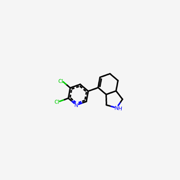 Clc1cc(C2=CCCC3CNCC23)cnc1Cl